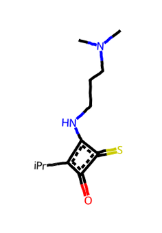 CC(C)c1c(NCCCN(C)C)c(=S)c1=O